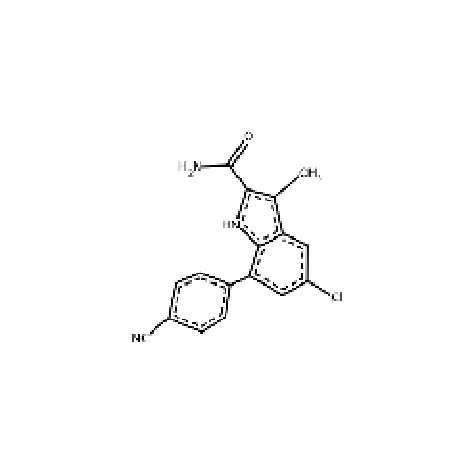 Cc1c(C(N)=O)[nH]c2c(-c3ccc(C#N)cc3)cc(Cl)cc12